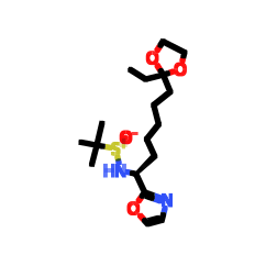 CCC1(CCCCC[C@H](N[S@+]([O-])C(C)(C)C)c2ncco2)OCCO1